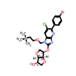 C[Si](C)(C)CCOCn1c(O[C@@H]2CO[C@H]3[C@@H]2OC[C@H]3O)nc2nc(-c3ccc(Br)cc3)c(Cl)cc21